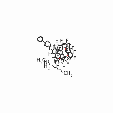 CCCCCCCCC[NH2+]C.Fc1c(F)c(F)c2[c]([Al-]([c]3c(F)c(F)c(F)c4c(F)c(F)c(F)c(F)c34)([c]3c(F)c(F)c(F)c4c(F)c(F)c(F)c(F)c34)[c]3c(F)c(F)c(F)c4c(F)c(F)c(F)c(F)c34)c(F)c(F)c(F)c2c1F.c1ccc(-c2ccccc2)cc1